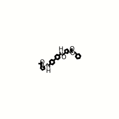 CC(=O)N1CCC[C@H]1CNc1ccc(-c2ccc(NC(=O)C3CCN(C(=O)OCc4ccccc4)C3)cc2)cc1